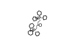 O=C(CC[PH](c1ccccc1)(c1ccccc1)c1ccccc1)CC[PH](c1ccccc1)(c1ccccc1)c1ccccc1